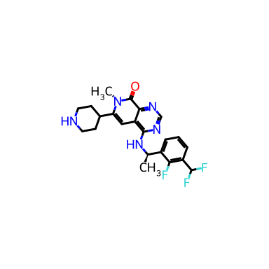 C[C@@H](Nc1ncnc2c(=O)n(C)c(C3CCNCC3)cc12)c1cccc(C(F)F)c1F